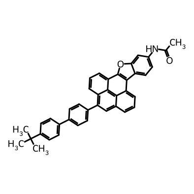 CC(=O)Nc1ccc2c(c1)oc1c3cccc4c(-c5ccc(-c6ccc(C(C)(C)C)cc6)cc5)cc5cccc(c21)c5c43